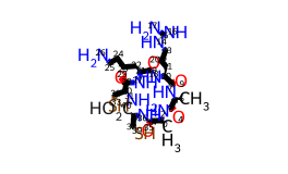 C[C@H](NC(=O)[C@H](C)NC(=O)[C@H](CCCNC(=N)N)NC(=O)[C@H](CCCCN)NC(=O)[C@@H](N)CS)C(=O)N[C@@H](CS)C(=O)O